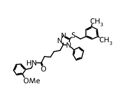 COc1ccccc1CNC(=O)CCCCc1nnc(SCc2cc(C)cc(C)c2)n1-c1ccccc1